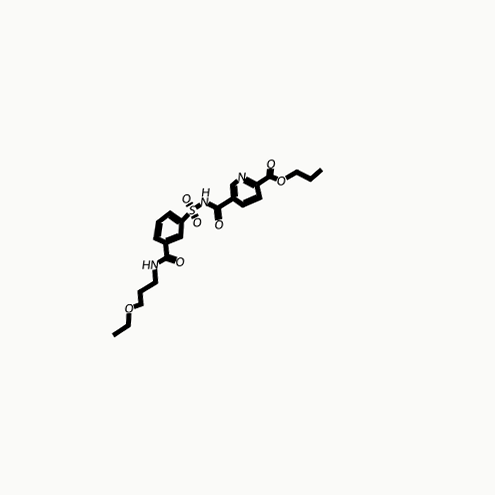 CCCOC(=O)c1ccc(C(=O)NS(=O)(=O)c2cccc(C(=O)NCCCOCC)c2)cn1